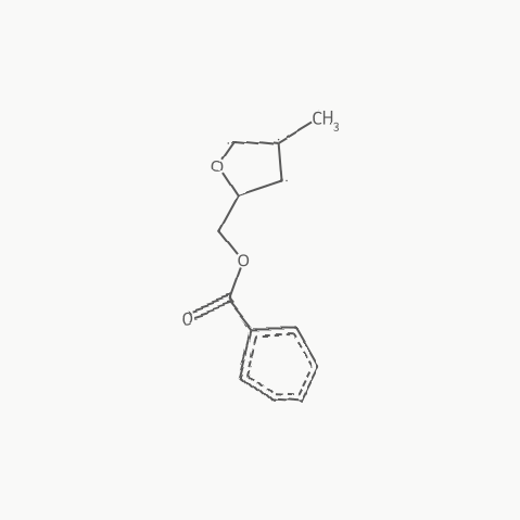 C[C]1[CH]OC(COC(=O)c2ccccc2)[CH]1